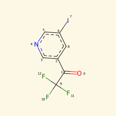 O=C(c1cncc(I)c1)C(F)(F)F